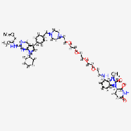 COC[C@H](C)Nc1ncc2c(-c3ccc(CN4CCN(CCOCCOCCOCCOCCNc5cccc6c5n(C)c(=O)n6C5CCC(=O)NC5=O)CC4)cc3)cn(C3CCCCC3)c2n1